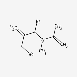 C=C(CC(C)C)C(CC)N(C)C(=C)C